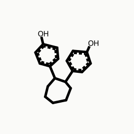 Oc1ccc(C2CCCCCC2c2ccc(O)cc2)cc1